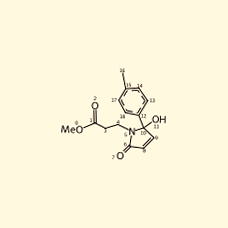 COC(=O)CCN1C(=O)C=CC1(O)c1ccc(C)cc1